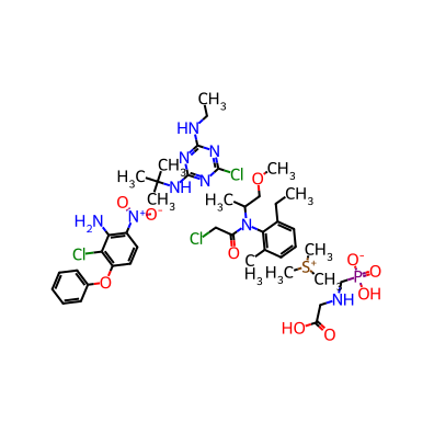 CCNc1nc(Cl)nc(NC(C)(C)C)n1.CCc1cccc(C)c1N(C(=O)CCl)C(C)COC.C[S+](C)C.Nc1c([N+](=O)[O-])ccc(Oc2ccccc2)c1Cl.O=C(O)CNCP(=O)([O-])O